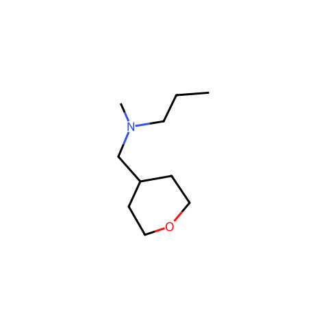 CCCN(C)CC1CCOCC1